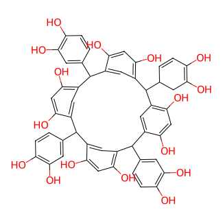 OC1=C(O)CC(C2c3cc(c(O)cc3O)C(c3ccc(O)c(O)c3)c3cc(c(O)cc3O)C(c3ccc(O)c(O)c3)c3cc(c(O)cc3O)C(c3ccc(O)c(O)c3)c3cc2c(O)cc3O)C=C1